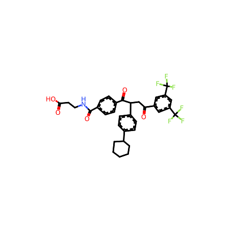 O=C(O)CCNC(=O)c1ccc(C(=O)C(CC(=O)c2cc(C(F)(F)F)cc(C(F)(F)F)c2)c2ccc(C3CCCCC3)cc2)cc1